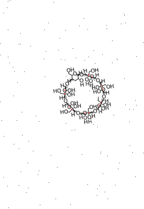 CCC1O[C@H]2O[C@@H]3C(CO)O[C@@H](O[C@@H]4C(CO)O[C@H](O[C@@H]5C(CO)O[C@H](O[C@H]6CC(O)[C@H](OC6CO)O[C@@H]6C(CO)O[C@H](O[C@@H]7C(CO)O[C@H](O[C@H]1C(O)C2O)C(O)C7O)C(O)C6O)C(O)C5O)C(O)C4O)C(O)C3O